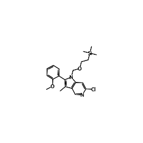 COc1ccccc1-c1c(C)c2cnc(Cl)cc2n1COCC[Si](C)(C)C